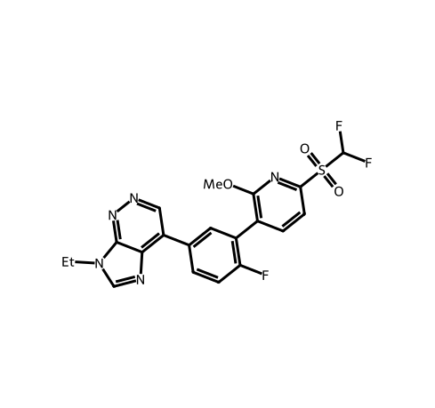 CCn1cnc2c(-c3ccc(F)c(-c4ccc(S(=O)(=O)C(F)F)nc4OC)c3)cnnc21